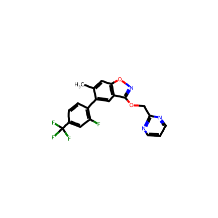 Cc1cc2onc(OCc3ncccn3)c2cc1-c1ccc(C(F)(F)F)cc1F